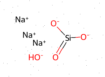 O=[Si]([O-])[O-].[Na+].[Na+].[Na+].[OH-]